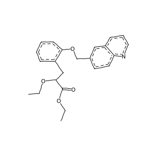 CCOC(=O)C(Cc1ccccc1OCc1ccc2ncccc2c1)OCC